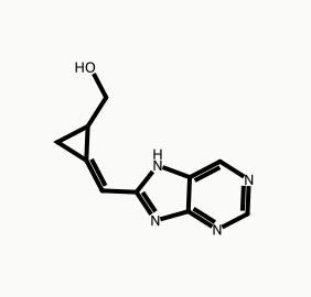 OCC1CC1=Cc1nc2ncncc2[nH]1